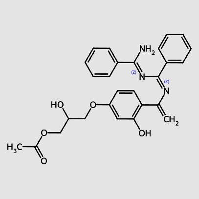 C=C(/N=C(\N=C(/N)c1ccccc1)c1ccccc1)c1ccc(OCC(O)COC(C)=O)cc1O